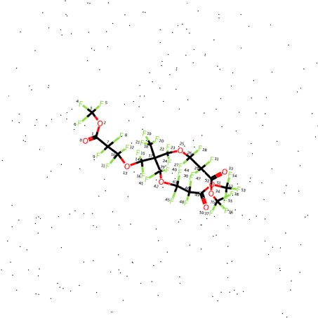 O=C(OC(F)(F)F)C(F)(F)C(F)(F)OC(F)(F)C(C(F)(F)F)(C(F)(F)OC(F)(F)C(F)(F)C(=O)OC(F)(F)F)C(F)(F)OC(F)(F)C(F)(F)C(=O)OC(F)(F)F